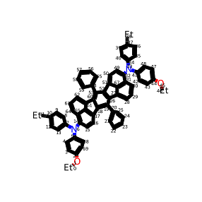 CCOc1ccc(N(c2ccc(CC)cc2)c2ccc3c4c(-c5ccccc5)c5c6cccc7c(N(c8ccc(CC)cc8)c8ccc(OCC)cc8)ccc(c5c(-c5ccccc5)c4c4cccc2c43)c76)cc1